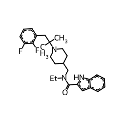 CCN(CC1CCN(C(C)(C)Cc2cccc(F)c2F)CC1)C(=O)c1cc2ccccc2[nH]1